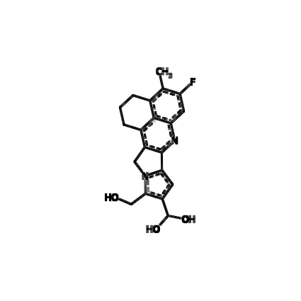 Cc1c(F)cc2nc3c(c4c2c1CCC4)Cn1c-3cc(C(O)O)c1CO